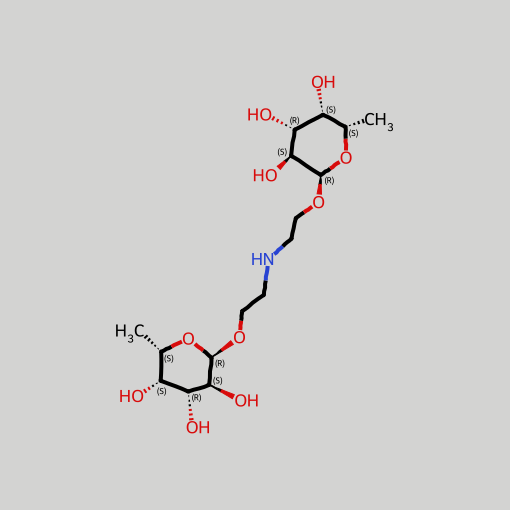 C[C@@H]1O[C@@H](OCCNCCO[C@@H]2O[C@@H](C)[C@@H](O)[C@@H](O)[C@@H]2O)[C@@H](O)[C@H](O)[C@@H]1O